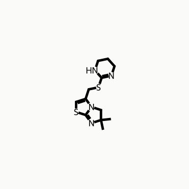 CC1(C)CN2C(CSC3=NCCCN3)=CSC2=N1